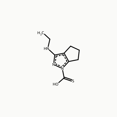 CCNc1nn(C(O)=S)c2c1CCC2